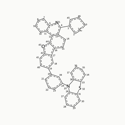 c1ccc(-c2nc3ccccc3c3c2ccc2c4cc(-c5cccc(N6c7ccccc7Sc7ccccc76)c5)ccc4oc23)cc1